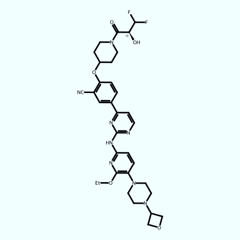 CCOc1nc(Nc2nccc(-c3ccc(OC4CCN(C(=O)[C@H](O)C(F)F)CC4)c(C#N)c3)n2)ccc1N1CCN(C2COC2)CC1